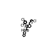 O=C(NN1CC2CCCC2C1)c1nn(-c2ccc(Cl)cc2Cl)c2c1CCC/C2=C\c1ccc(Cl)s1